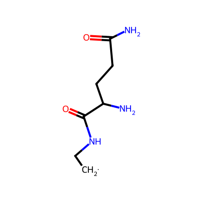 [CH2]CNC(=O)C(N)CCC(N)=O